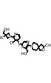 C[C@H]1CC2(CCN(c3ncc(Sc4ccnc(N5CC(C#N)(CO)C5)c4Cl)nc3CO)CC2)CO1